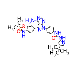 CC(C)S(=O)(=O)Nc1ccc(-c2nn(-c3ccc(NC(=O)NC4=NCC(C(C)(C)C)=C4)cc3)c3ncnc(N)c23)cc1